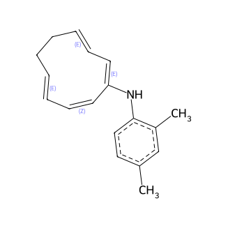 Cc1ccc(NC2=C/C=C/CC/C=C/C=C\2)c(C)c1